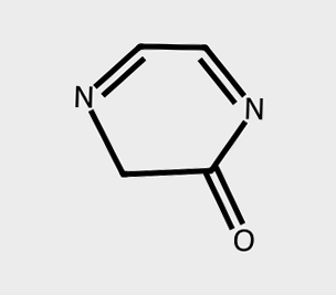 O=C1CN=CC=N1